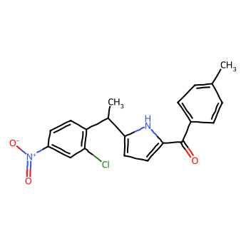 Cc1ccc(C(=O)c2ccc(C(C)c3ccc([N+](=O)[O-])cc3Cl)[nH]2)cc1